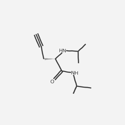 C#CC[C@H](NC(C)C)C(=O)NC(C)C